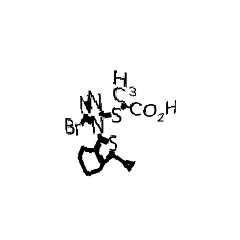 C[C@@H](Sc1nnc(Br)n1-c1sc(C2CC2)c2c1CCCC2)C(=O)O